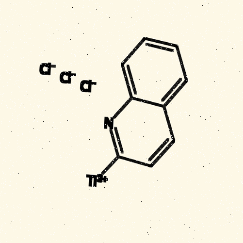 [Cl-].[Cl-].[Cl-].[Ti+3][c]1ccc2ccccc2n1